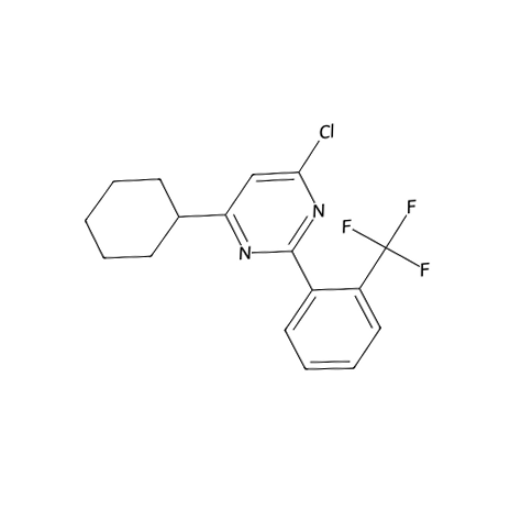 FC(F)(F)c1ccccc1-c1nc(Cl)cc(C2CCCCC2)n1